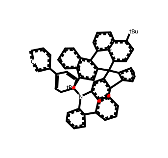 CC(C)(C)c1cc2c(c3ccccc13)-c1cccc3c(C(C)(C)C)ccc(c13)C21c2ccccc2-c2ccc(N(c3ccccc3-c3ccccc3)C3C=CC(c4ccccc4)=CC3)cc21